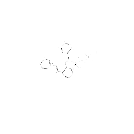 CC(C)(O)COC(C)(C)c1cccc(/C=C/c2ccccc2)c1/C=C/c1ccccc1